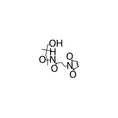 CC(C)(CO)C1OC1(C)NC(=O)CCN1C(=O)C=CC1=O